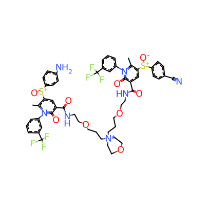 Cc1c([S+]([O-])c2ccc(N)cc2)cc(C(=O)NCCOCCC[N+]2(CCCOCCNC(=O)c3cc([S+]([O-])c4ccc(C#N)cc4)c(C)n(-c4cccc(C(F)(F)F)c4)c3=O)CCOCC2)c(=O)n1-c1cccc(C(F)(F)F)c1